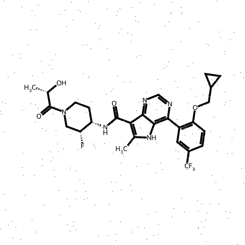 Cc1[nH]c2c(-c3cc(C(F)(F)F)ccc3OCC3CC3)ncnc2c1C(=O)N[C@H]1CCN(C(=O)[C@H](C)O)C[C@H]1F